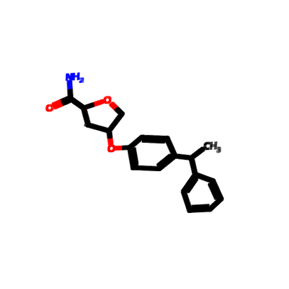 CC(c1ccccc1)c1ccc(OC2[CH]C(C(N)=O)OC2)cc1